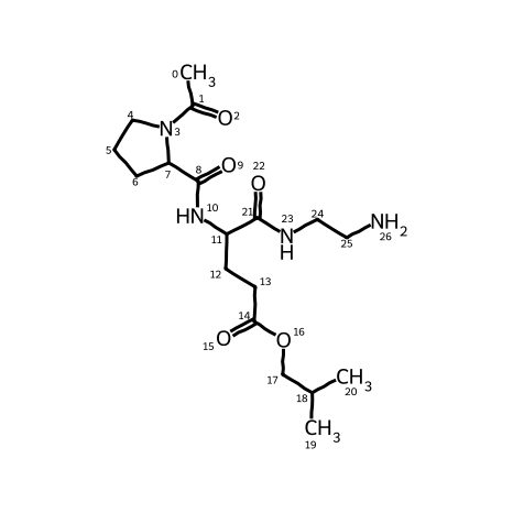 CC(=O)N1CCCC1C(=O)NC(CCC(=O)OCC(C)C)C(=O)NCCN